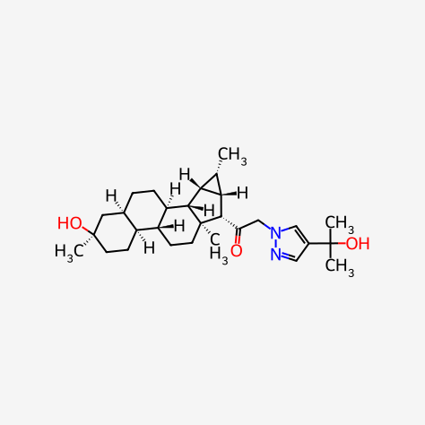 C[C@H]1[C@@H]2[C@H]1[C@H](C(=O)Cn1cc(C(C)(C)O)cn1)[C@@]1(C)CC[C@H]3[C@@H](CC[C@@H]4C[C@](C)(O)CC[C@@H]43)[C@H]21